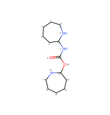 O=C(NC1CCCCCN1)OC1CCCCC[N]1